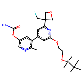 Cc1ncc(OC(N)=O)cc1-c1cc(OCCO[Si](C)(C)C(C)(C)C)nc(C2(CF)COC2)c1